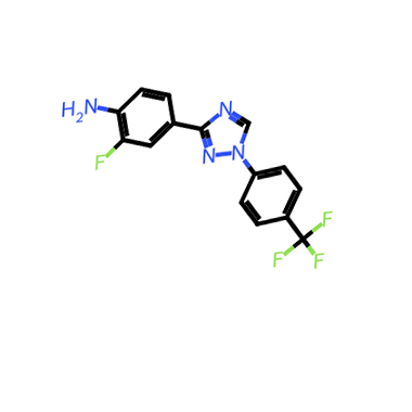 Nc1ccc(-c2ncn(-c3ccc(C(F)(F)F)cc3)n2)cc1F